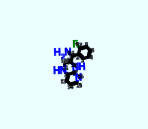 N[C@H](c1ccccc1F)[C@H]1CNc2cccnc2N1